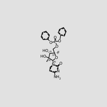 C[C@]1(O)[C@H](n2ccc(N)nc2=O)O[C@](F)(COP(=O)(Oc2ccccc2)Oc2ccccc2)[C@H]1O